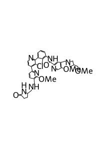 COCC1CN(Cc2cc(C(=O)Nc3cccc(-c4nccc(-c5ccc(CNCC6CCC(=O)N6)c(OC)n5)c4Cl)c3C)ncc2OC)C1